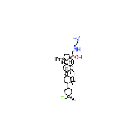 CC(=O)[C@@]1(CF)CC=C(C2=CC[C@]3(C)[C@H]4CC[C@@H]5[C@H]6[C@H](C(C)C)CC[C@]6(C(O)CNCCN(C)C)CC[C@@]5(C)[C@]4(C)CC[C@H]3C2(C)C)CC1